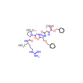 N=C(N)NCCC[C@H](NC(=O)[C@@H]1CCCN1C(=O)[C@H](CC(=O)O)NC(=O)[C@H](COCc1ccccc1)NC(=O)[C@H](CC(=O)O)NC(=O)OCc1ccccc1)C(=O)O